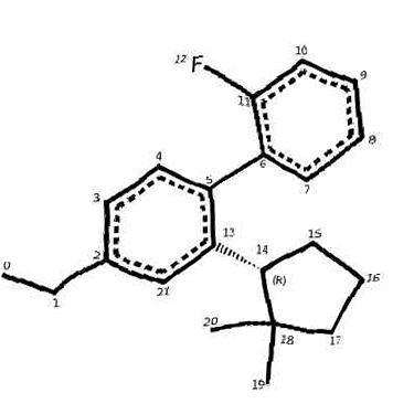 CCc1ccc(-c2ccccc2F)c([C@@H]2CCCC2(C)C)c1